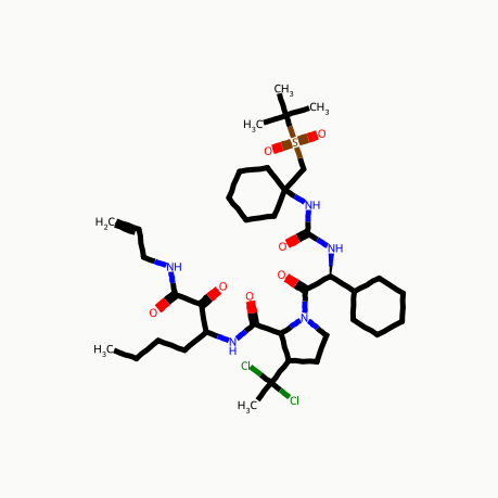 C=CCNC(=O)C(=O)C(CCCC)NC(=O)C1C(C(C)(Cl)Cl)CCN1C(=O)[C@@H](NC(=O)NC1(CS(=O)(=O)C(C)(C)C)CCCCC1)C1CCCCC1